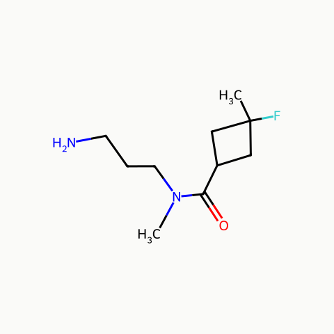 CN(CCCN)C(=O)C1CC(C)(F)C1